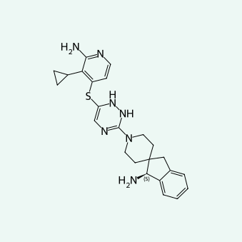 Nc1nccc(SC2=CN=C(N3CCC4(CC3)Cc3ccccc3[C@H]4N)NN2)c1C1CC1